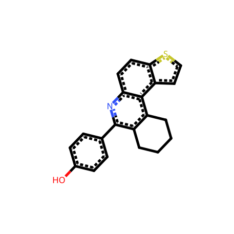 Oc1ccc(-c2nc3ccc4sccc4c3c3c2CCCC3)cc1